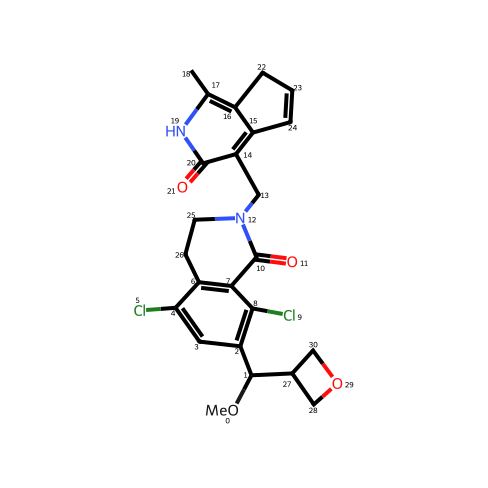 COC(c1cc(Cl)c2c(c1Cl)C(=O)N(Cc1c3c(c(C)[nH]c1=O)CC=C3)CC2)C1COC1